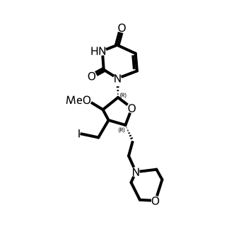 COC1C(CI)[C@@H](CCN2CCOCC2)O[C@H]1n1ccc(=O)[nH]c1=O